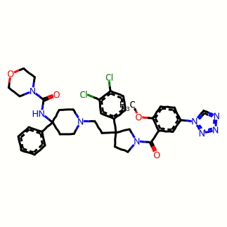 COc1ccc(-n2cnnn2)cc1C(=O)N1CCC(CCN2CCC(NC(=O)N3CCOCC3)(c3ccccc3)CC2)(c2ccc(Cl)c(Cl)c2)C1